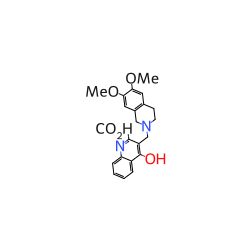 COc1cc2c(cc1OC)CN(Cc1c(C(=O)O)nc3ccccc3c1O)CC2